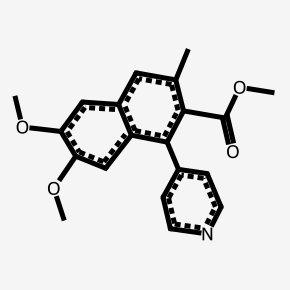 COC(=O)c1c(C)cc2cc(OC)c(OC)cc2c1-c1ccncc1